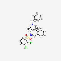 O=S(=O)(c1cccc(Cl)c1Cl)N1Cc2ccccc2[C@H]2CN(Cc3ccccc3)C[C@@H]2C1